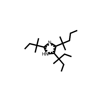 CCCC(C)(C)c1nc(C(C)(C)CC)[nH]c1C(C)(CC)CC